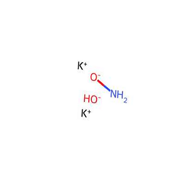 N[O-].[K+].[K+].[OH-]